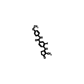 COc1ccc(NC(=O)c2ccc(NC3=C(C)C(=O)CC3)c(I)c2)cc1